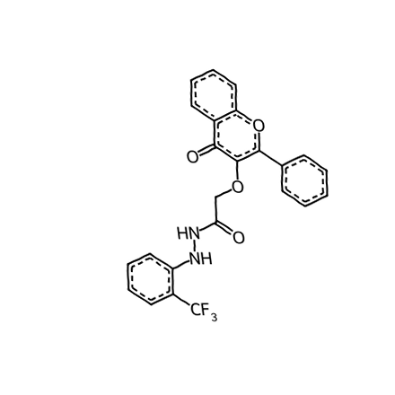 O=C(COc1c(-c2ccccc2)oc2ccccc2c1=O)NNc1ccccc1C(F)(F)F